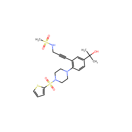 CC(C)(O)c1ccc(N2CCN(S(=O)(=O)c3cccs3)CC2)c(C#CCNS(C)(=O)=O)c1